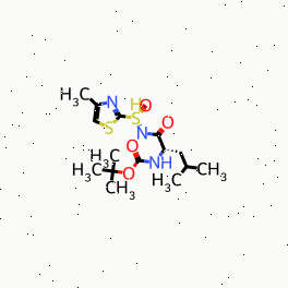 Cc1csc(/[SH](=O)=N/C(=O)[C@H](CC(C)C)NC(=O)OC(C)(C)C)n1